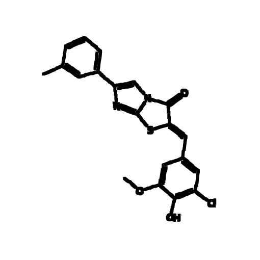 COc1cc(/C=c2\sc3nc(-c4cccc(C)c4)cn3c2=O)cc(Cl)c1O